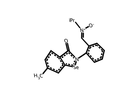 Cc1ccc2c(=O)n(-c3ccccc3C=[N+]([O-])C(C)C)[se]c2c1